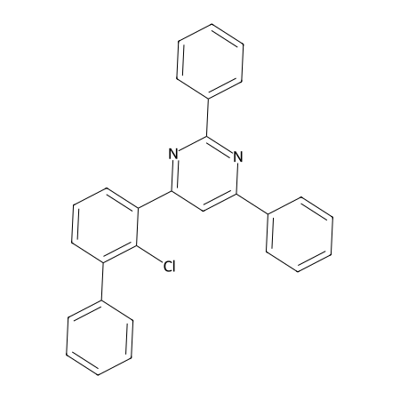 Clc1c(-c2ccccc2)cccc1-c1cc(-c2ccccc2)nc(-c2ccccc2)n1